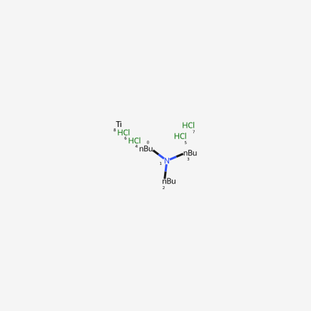 CCCCN(CCCC)CCCC.Cl.Cl.Cl.Cl.[Ti]